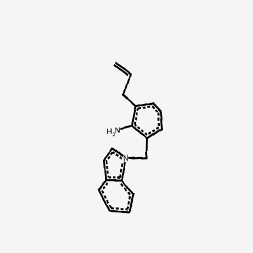 C=CCc1cccc(Cn2ccc3ccccc32)c1N